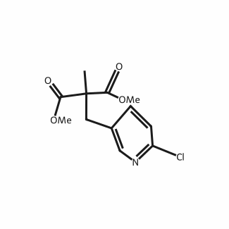 COC(=O)C(C)(Cc1ccc(Cl)nc1)C(=O)OC